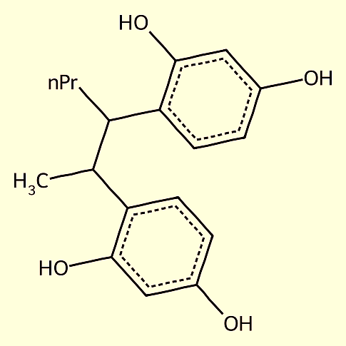 CCCC(c1ccc(O)cc1O)C(C)c1ccc(O)cc1O